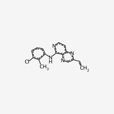 C=Cc1cnc2c(Nc3cccc(Cl)c3C)nccc2n1